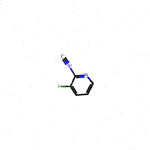 [C-]#[N+]c1ncccc1F